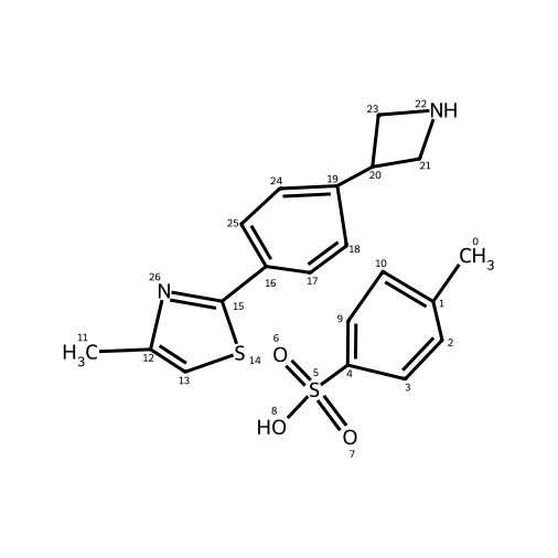 Cc1ccc(S(=O)(=O)O)cc1.Cc1csc(-c2ccc(C3CNC3)cc2)n1